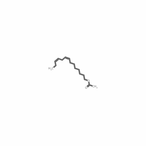 CC/C=C\C/C=C\CCCCCCCOC(C)=O